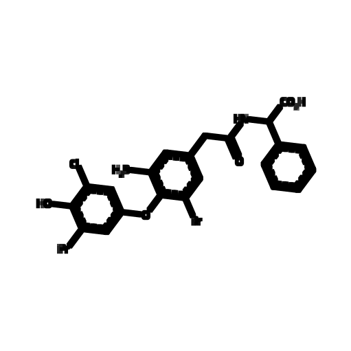 Bc1cc(CC(=O)NC(C(=O)O)c2ccccc2)cc(Br)c1Oc1cc(Cl)c(O)c(C(C)C)c1